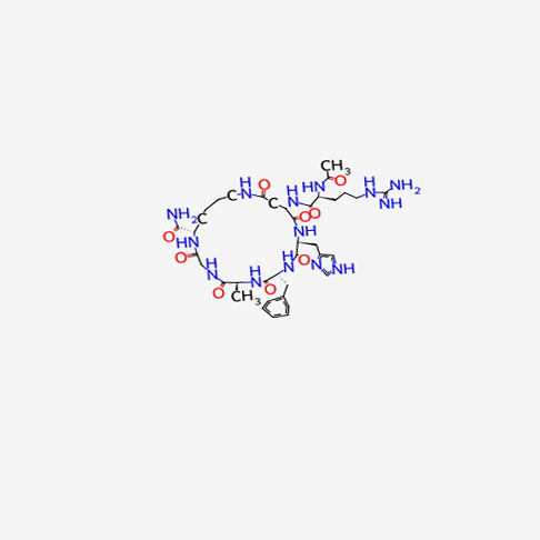 CC(=O)N[C@@H](CCCNC(=N)N)C(=O)N[C@H]1CC(=O)NCCCC[C@@H](C(N)=O)NC(=O)CNC(=O)[C@H](C)NC(=O)[C@@H](Cc2ccccc2)NC(=O)[C@H](Cc2c[nH]cn2)NC1=O